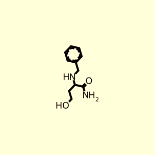 NC(=O)C(CCO)NCc1ccccc1